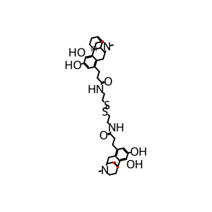 CN1CCC23CCC=CC2C1Cc1c(CCC(=O)NCCSSCCNC(=O)CCc2cc(O)c(O)c4c2CC2C5C=CCC[C@]45CCN2C)cc(O)c(O)c13